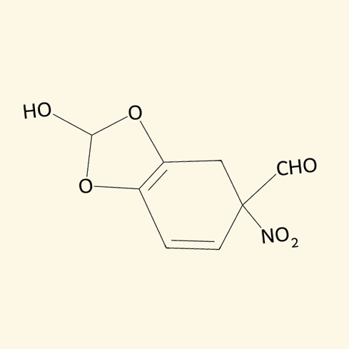 O=CC1([N+](=O)[O-])C=CC2=C(C1)OC(O)O2